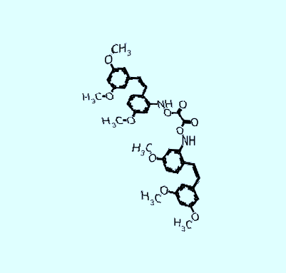 COc1cc(/C=C\c2ccc(OC)cc2NOC(=O)C(=O)ONc2cc(OC)ccc2/C=C\c2cc(OC)cc(OC)c2)cc(OC)c1